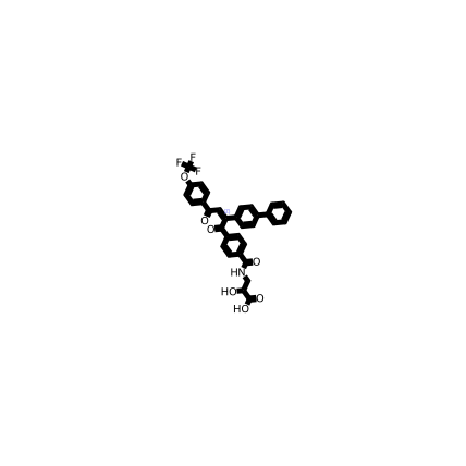 O=C(/C=C(\C(=O)c1ccc(C(=O)NCC(O)C(=O)O)cc1)c1ccc(-c2ccccc2)cc1)c1ccc(OC(F)(F)F)cc1